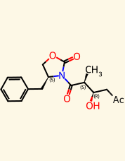 CC(=O)C[C@@H](O)[C@H](C)C(=O)N1C(=O)OC[C@@H]1Cc1ccccc1